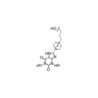 CCCn1c(=O)c2[nH]c(C34CCC(CCCC(=O)O)(CC3)CC4)nc2n(CCC)c1=O